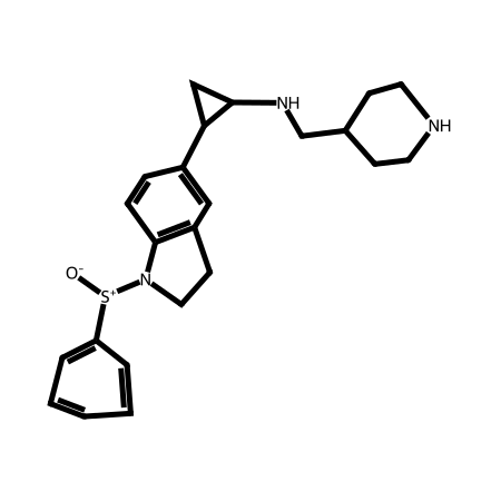 [O-][S+](c1ccccc1)N1CCc2cc(C3CC3NCC3CCNCC3)ccc21